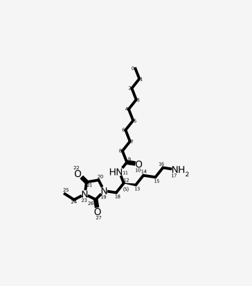 CCCCCCCCCC(=O)N[C@@H](CCCCN)CN1CC(=O)N(CC)C1=O